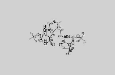 CC(C)(C)OC(=O)NC(Cc1c(O)cncc1CCC(NC(=O)OC(C)(C)C)C(=O)OC(C)(C)C)C(=O)O